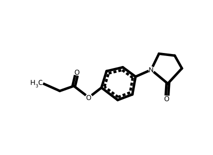 CCC(=O)Oc1ccc(N2CCCC2=O)cc1